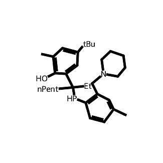 CCCCCC(CC)(Pc1ccc(C)cc1CN1CCCCC1)c1cc(C(C)(C)C)cc(C)c1O